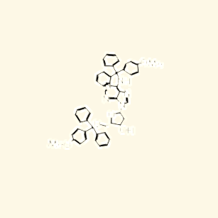 COc1ccc(C(Nc2ncnc3c2ncn3[C@H]2C[C@H](O)[C@H](COC(c3ccccc3)(c3ccccc3)c3ccc(OC)cc3)O2)(c2ccccc2)c2ccccc2)cc1